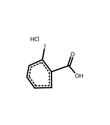 Cl.O=C(O)c1ccccc1I